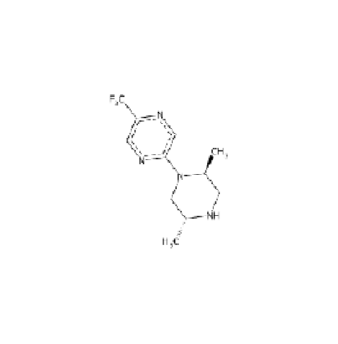 C[C@@H]1CN(c2cnc(C(F)(F)F)cn2)[C@@H](C)CN1